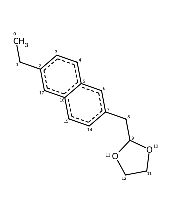 CCc1ccc2cc(CC3OCCO3)ccc2c1